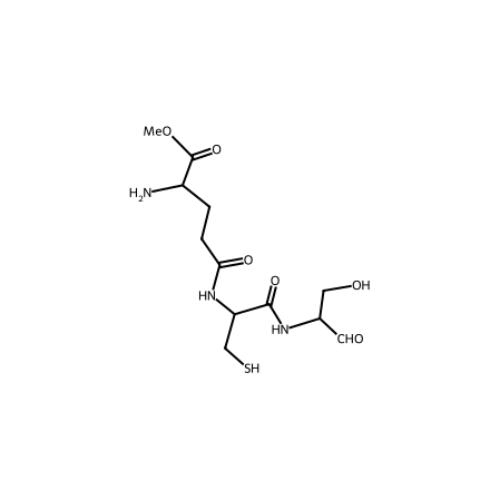 COC(=O)C(N)CCC(=O)NC(CS)C(=O)NC(C=O)CO